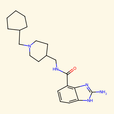 Nc1nc2c(C(=O)NCC3CCN(CC4CCCCC4)CC3)cccc2[nH]1